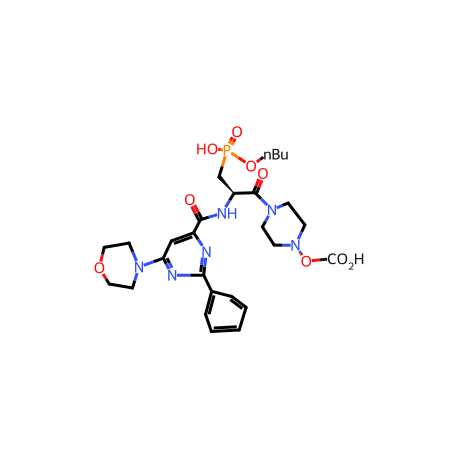 CCCCOP(=O)(O)C[C@H](NC(=O)c1cc(N2CCOCC2)nc(-c2ccccc2)n1)C(=O)N1CCN(OC(=O)O)CC1